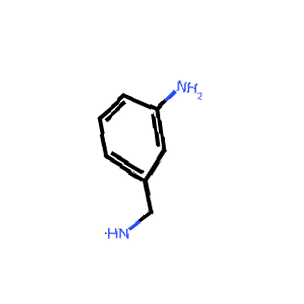 [NH]Cc1cccc(N)c1